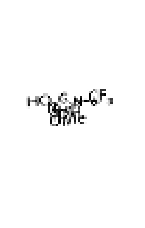 COc1ccc2nccc([C@@H](O)CCC3CCN(CC#Cc4ccccc4C(F)(F)F)CC3CCC(=O)O)c2c1